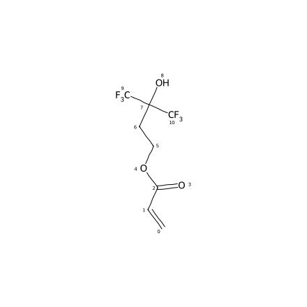 C=CC(=O)OCCC(O)(C(F)(F)F)C(F)(F)F